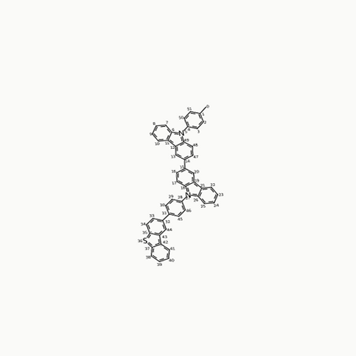 Cc1ccc(-n2c3ccccc3c3cc(-c4ccc5c(c4)c4ccccc4n5-c4ccc(-c5ccc6sc7ccccc7c6c5)cc4)ccc32)cc1